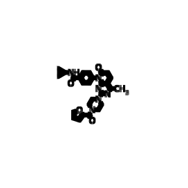 Cc1nc(N2CCN(C(=O)c3ccco3)CC2)nc2c1ccc(=O)n2-c1ccc(C(=O)NC2CC2)cc1